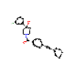 O=C(c1ccc(C#Cc2ccccc2)cc1)N1CCC(O)(c2cccc(F)c2)CC1